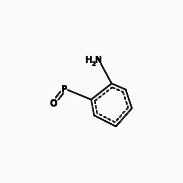 Nc1ccccc1P=O